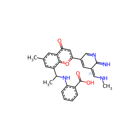 CN/C=C1/C=C(c2cc(=O)c3cc(C)cc(C(C)Nc4ccccc4C(=O)O)c3o2)C=NC1=N